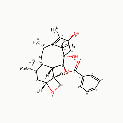 CO[C@H]1C[C@H]2OC[C@@]2(OC(C)=O)[C@H]2[C@H](OC(=O)c3ccccc3)[C@]3(O)C[C@H](O)C(C)=C([C@@H](C)C[C@]12C)C3(C)C